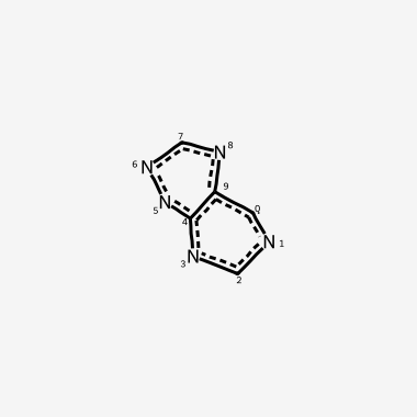 [c]1ncnc2nncnc12